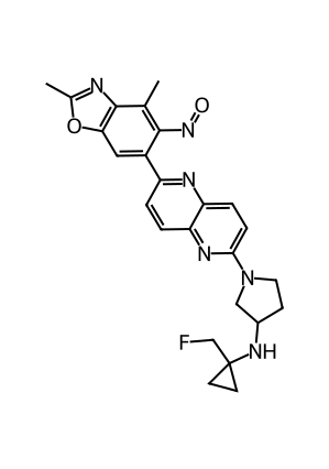 Cc1nc2c(C)c(N=O)c(-c3ccc4nc(N5CCC(NC6(CF)CC6)C5)ccc4n3)cc2o1